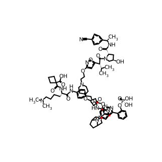 CC(C)[C@@H](C(=O)N1C[C@H](O)C[C@H]1C(=O)N[C@H](C)c1ccc(C#N)cc1)c1cc(OCCN2CCC(OC3CC(Oc4cc(N5C6CCC5CN(c5cc(-c7ccccc7OP(=O)(O)O)nnc5NC(=O)OCc5ccc(NC(=O)[C@H](CCCCN(C)C)NC(=O)C7(C(=O)O)CCC7)cc5)C6)ccn4)C3)CC2)no1